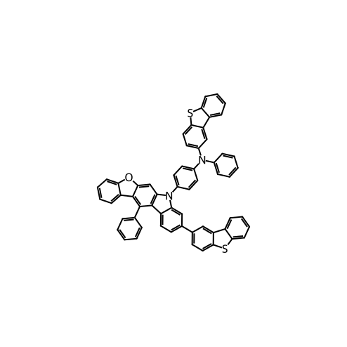 c1ccc(-c2c3c(cc4c2c2ccc(-c5ccc6sc7ccccc7c6c5)cc2n4-c2ccc(N(c4ccccc4)c4ccc5sc6ccccc6c5c4)cc2)oc2ccccc23)cc1